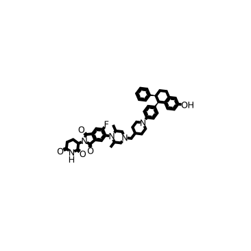 CC1CN(CC2CCN(c3ccc([C@@H]4c5ccc(O)cc5CC[C@@H]4c4ccccc4)cc3)CC2)CC(C)N1c1cc2c(cc1F)C(=O)N(C1CCC(=O)NC1=O)C2=O